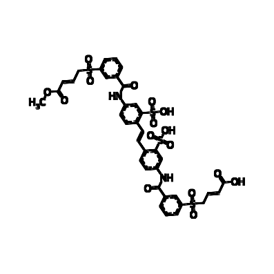 COC(=O)C=CCS(=O)(=O)c1cccc(C(=O)Nc2ccc(C=Cc3ccc(NC(=O)c4cccc(S(=O)(=O)CC=CC(=O)O)c4)cc3S(=O)(=O)O)c(S(=O)(=O)O)c2)c1